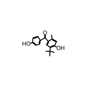 Cc1cc(O)c(C(C)(C)C)cc1C(=O)c1ccc(O)cc1